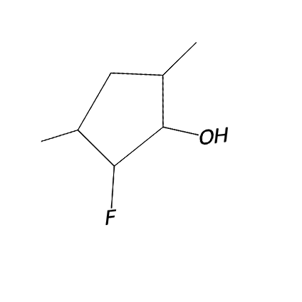 CC1CC(C)C(F)C1O